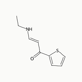 CCNC=CC(=O)c1cccs1